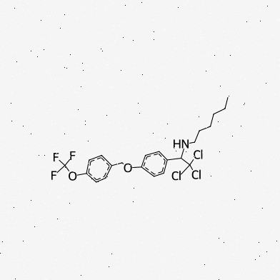 CCCCCCNC(c1ccc(OCc2ccc(OC(F)(F)F)cc2)cc1)C(Cl)(Cl)Cl